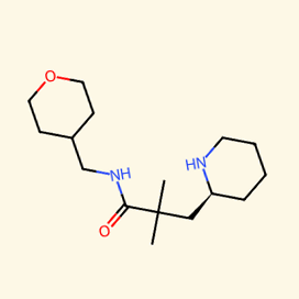 CC(C)(C[C@@H]1CCCCN1)C(=O)NCC1CCOCC1